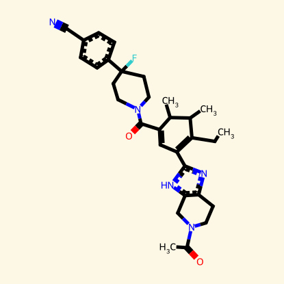 CCC1=C(c2nc3c([nH]2)CN(C(C)=O)CC3)C=C(C(=O)N2CCC(F)(c3ccc(C#N)cc3)CC2)C(C)C1C